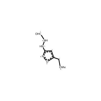 COCc1cc(NNC=O)no1